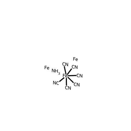 N.N#[C][Fe]([C]#N)([C]#N)([C]#N)([C]#N)[C]#N.[Fe].[Fe]